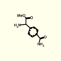 COC(=O)C(N)c1ccc(C(N)=O)cc1